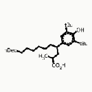 CCCCCCCCCCCCCCCCC(CC(C)C(=O)O)c1cc(C(C)(C)C)c(O)c(C(C)(C)C)c1